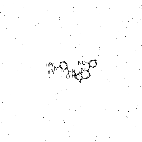 CCCN(CCC)c1cccc(C(=O)Nc2cnc3ccc(-c4ccccc4C#N)nn23)n1